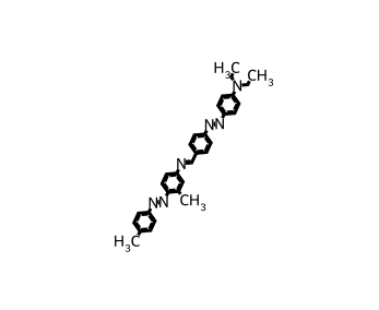 CCN(CC)c1ccc(N=Nc2ccc(C=Nc3ccc(N=Nc4ccc(C)cc4)c(C)c3)cc2)cc1